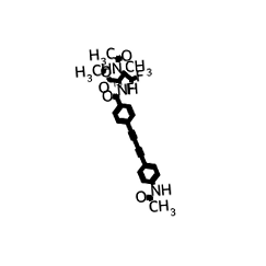 COC(=O)[C@@H](NC(=O)c1ccc(C#CC#Cc2ccc(NC(C)=O)cc2)cc1)C(C)(NC(C)=O)C(F)F